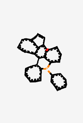 C1=Cc2ccc(-c3ccccc3P(c3ccccc3)c3ccccc3)c3cccc1c23